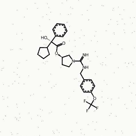 N=C(NCc1ccc(OC(F)(F)F)cc1)N1CC[C@@H](OC(=O)[C@](O)(c2ccccc2)C2CCCC2)C1